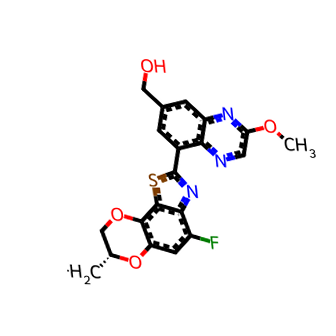 [CH2][C@@H]1COc2c(cc(F)c3nc(-c4cc(CO)cc5nc(OC)cnc45)sc23)O1